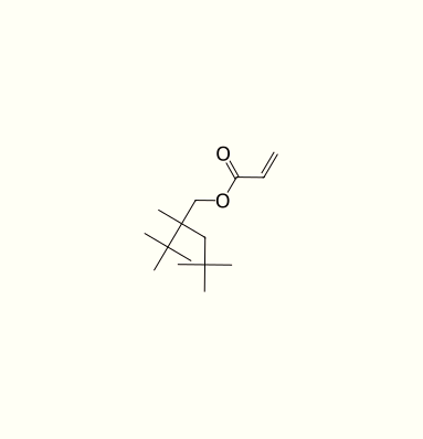 C=CC(=O)OCC(C)(CC(C)(C)C)C(C)(C)C